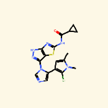 Cc1cc(-c2cncn2-c2n[nH]c3nc(NC(=O)C4CC4)sc23)c(Cl)n1C